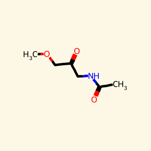 COCC(=O)CNC(C)=O